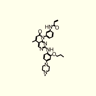 C=CC(=O)Nc1cccc(-n2c(=O)cc(C)c3cnc(Nc4ccc(N5CCN(C)CC5)cc4OCCC)nc32)c1